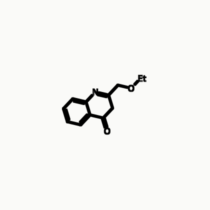 CCOCC1=Nc2ccccc2C(=O)C1